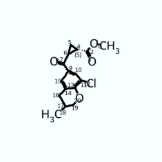 COC(=O)[C@H]1CC1C(=O)c1cc(Cl)c2c(c1)CC(C)CO2